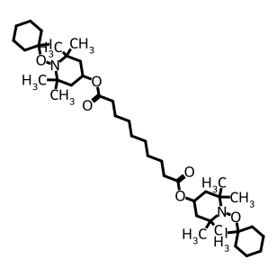 CC1(C)CC(OC(=O)CCCCCCCCC(=O)OC2CC(C)(C)N(OC3(I)CCCCC3)C(C)(C)C2)CC(C)(C)N1OC1(I)CCCCC1